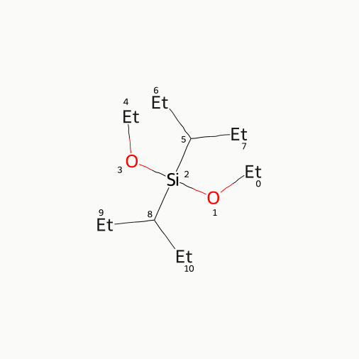 CCO[Si](OCC)(C(CC)CC)C(CC)CC